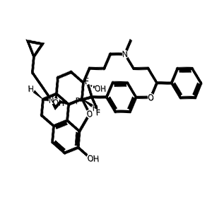 CN(CCC[C@]1(O)CC[C@@]2(O)[C@H]3Cc4ccc(O)c5c4[C@@]2(CCN3CC2CC2)[C@H]1O5)CCC(Oc1ccc(C(F)(F)F)cc1)c1ccccc1